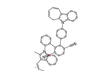 C/C=C\c1c(C)n(-c2ccccc2-c2c(C#N)ccc(C#N)c2-c2ccc(-n3c4c(c5ccccc53)C=CC=CC4)cc2)c2ccccc12